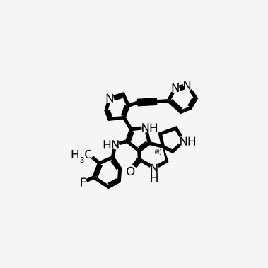 Cc1c(F)cccc1Nc1c(-c2ccncc2C#Cc2cccnn2)[nH]c2c1C(=O)NC[C@]21CCNC1